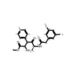 COC(=O)C(N)C(C(=O)[C@H](C)NC(=O)Cc1cc(F)cc(F)c1)c1ccncc1